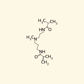 C=C(C)C(=O)NCCCN(C)CCCNC(=O)C(C)C